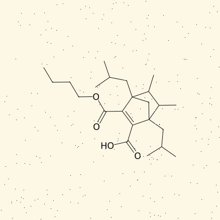 CCCCOC(=O)C1=C(C(=O)O)C2(CC(C)C)CC1(CC(C)C)C(C)C2C